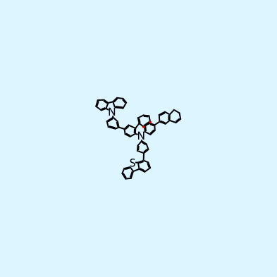 C1=Cc2cc(-c3ccc(N(c4ccc(-c5cccc6c5sc5ccccc56)cc4)c4ccc(-c5cccc(-n6c7ccccc7c7ccccc76)c5)cc4-c4ccccc4)cc3)ccc2CC1